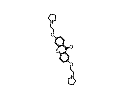 O=c1c2ccc(OCCN3CCCC3)cc2sc2ccc(OCCN3CCCC3)cc12